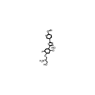 CC(C)Oc1ccc(-c2nnc(-c3cc(F)c(OC[C@@H](N)CO)cc3Cl)s2)cn1.Cl